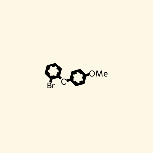 COc1ccc(Oc2cc[c]cc2Br)cc1